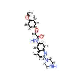 Cc1cc(N2CCNCC2)nc2ccc(NC(=O)COc3ccc(OC(F)(F)F)cc3)cc12